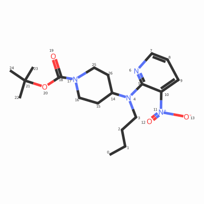 CCCCN(c1ncccc1[N+](=O)[O-])C1CCN(C(=O)OC(C)(C)C)CC1